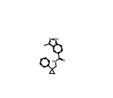 O=C(NCC1(c2ccccc2)CC1)c1ccc2[nH]nc(I)c2c1